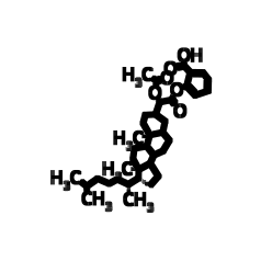 CC(=O)OC(C(=O)Oc1ccccc1C(=O)O)C1CC[C@@]2(C)C(CCC3C2CC[C@@]2(C)C3CC[C@@H]2[C@H](C)CCCC(C)C)C1